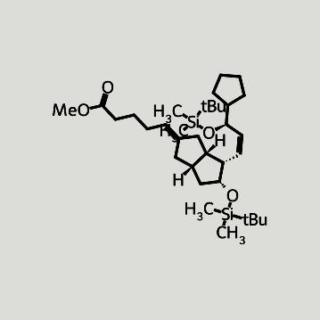 COC(=O)CCC/C=C1\C[C@H]2C[C@@H](O[Si](C)(C)C(C)(C)C)[C@@H](/C=C\[C@@H](O[Si](C)(C)C(C)(C)C)C3CCCC3)[C@H]2C1